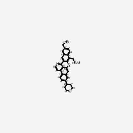 CC(C)(C)Cc1ccc2c(CC(C)(C)C)c3c(cc2c1)-c1nccc2c1c(cc1cc(C4CCOCC4)ccc12)S3